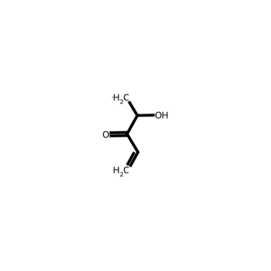 [CH2]C(O)C(=O)C=C